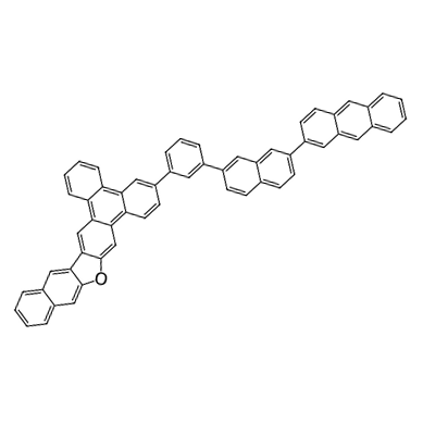 c1cc(-c2ccc3ccc(-c4ccc5cc6ccccc6cc5c4)cc3c2)cc(-c2ccc3c(c2)c2ccccc2c2cc4c(cc32)oc2cc3ccccc3cc24)c1